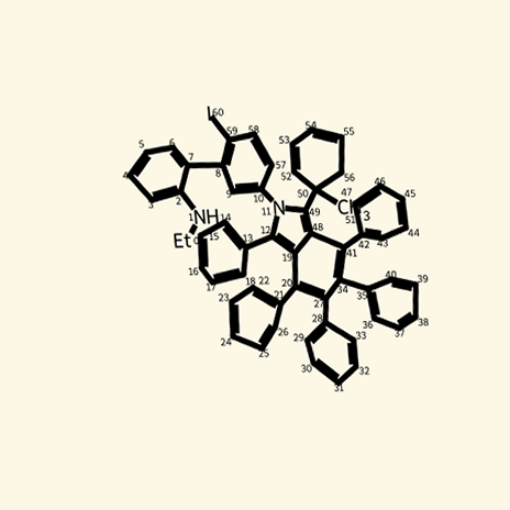 CCNc1ccccc1-c1cc(-n2c(-c3ccccc3)c3c(-c4ccccc4)c(-c4ccccc4)c(-c4ccccc4)c(-c4ccccc4)c3c2C2(C)C=CC=CC2)ccc1I